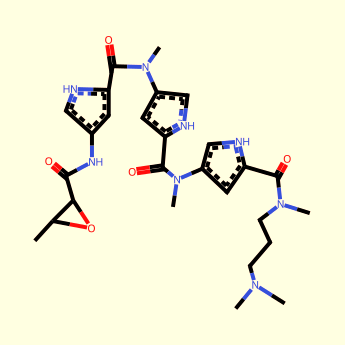 CC1OC1C(=O)Nc1c[nH]c(C(=O)N(C)c2c[nH]c(C(=O)N(C)c3c[nH]c(C(=O)N(C)CCCN(C)C)c3)c2)c1